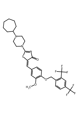 COc1cc(/C=C2/SC(N3CCN(C4CCCCCC4)CC3)=NC2=O)ccc1OCc1ccc(C(F)(F)F)cc1C(F)(F)F